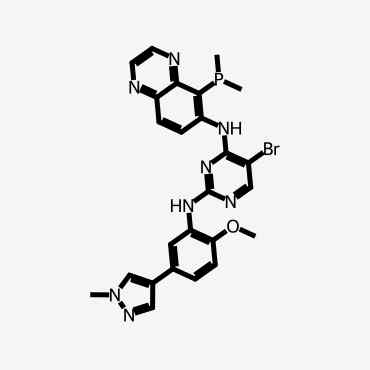 COc1ccc(-c2cnn(C)c2)cc1Nc1ncc(Br)c(Nc2ccc3nccnc3c2P(C)C)n1